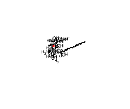 CCCCCCCCCCCCCCCCO[C@H](COP(=O)(O)O[C@H]1OC(C(N)=O)[C@@H](O)[C@H](OC(N)=O)C1O[C@H](OC(CO)[C@H](CO)O[C@@H]1OC(CO)[C@H](O)C(O)[C@@H]1NC(=O)CN=[N+]=[N-])[C@H](C)NC(C)=O)C(=O)O